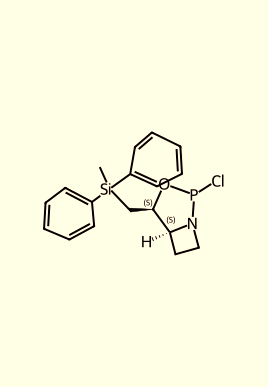 C[Si](C[C@H]1OP(Cl)N2CC[C@@H]12)(c1ccccc1)c1ccccc1